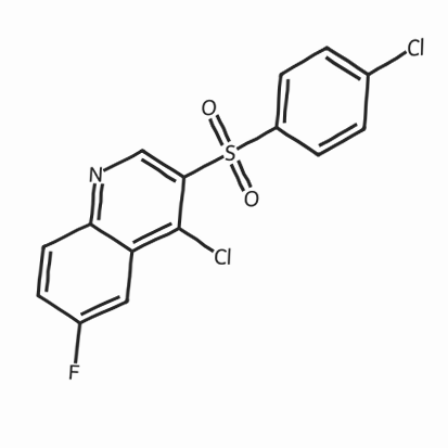 O=S(=O)(c1ccc(Cl)cc1)c1cnc2ccc(F)cc2c1Cl